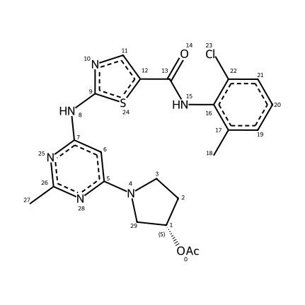 CC(=O)O[C@H]1CCN(c2cc(Nc3ncc(C(=O)Nc4c(C)cccc4Cl)s3)nc(C)n2)C1